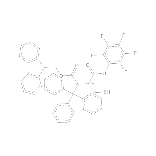 O=C(Oc1c(F)c(F)c(F)c(F)c1F)[C@H](CS)N(C(=O)OCC1c2ccccc2-c2ccccc21)C(c1ccccc1)(c1ccccc1)c1ccccc1